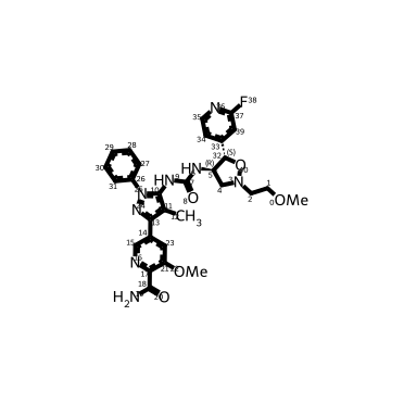 COCCN1C[C@@H](NC(=O)Nc2c(C)c(-c3cnc(C(N)=O)c(OC)c3)nn2-c2ccccc2)[C@H](c2ccnc(F)c2)O1